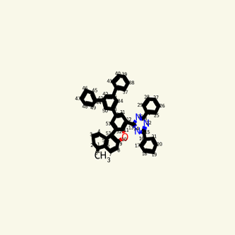 CC1CC=Cc2c1ccc1oc3c(-c4nc(-c5ccccc5)nc(-c5ccccc5)n4)cc(-c4cc(-c5ccccc5)cc(-c5ccccc5)c4)cc3c21